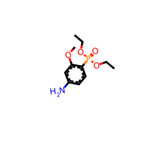 CCOP(=O)(OCC)c1ccc(N)cc1OC